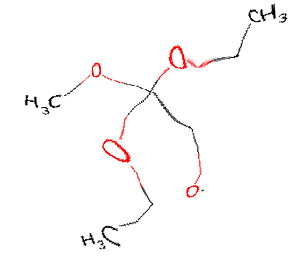 CCOC(C[O])(OC)OCC